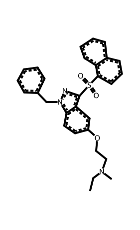 CCN(C)CCOc1ccc2c(c1)c(S(=O)(=O)c1cccc3ccccc13)nn2Cc1ccccc1